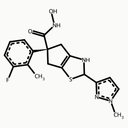 Cc1c(F)cccc1[C@@]1(C(=O)NO)CC2=C(C1)SC(c1ccn(C)n1)N2